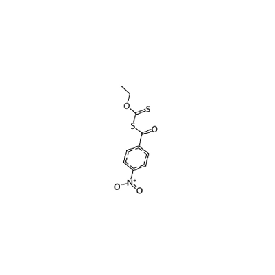 CCOC(=S)SC(=O)c1ccc([N+](=O)[O-])cc1